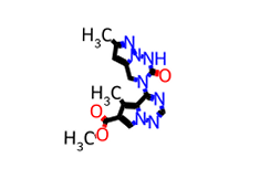 COC(=O)c1cn2ncnc(N3Cc4cc(C)nn4NC3=O)c2c1C